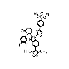 CCOP(=O)(OCC)c1ccc(-c2csc(-n3c([C@@H]4CCCC(=O)N4c4ccc(F)c(F)c4)nc4cc(-c5c(C)noc5C)ccc43)n2)cc1